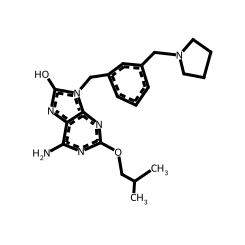 CC(C)COc1nc(N)c2nc(O)n(Cc3cccc(CN4CCCC4)c3)c2n1